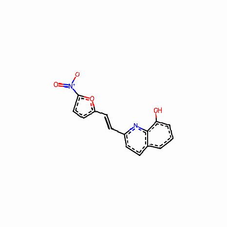 O=[N+]([O-])c1ccc(C=Cc2ccc3cccc(O)c3n2)o1